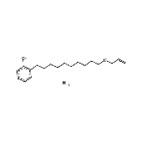 C=CCOCCCCCCCCCCc1ccccc1O.N